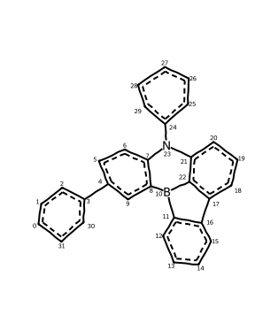 c1ccc(-c2ccc3c(c2)B2c4ccccc4-c4cccc(c42)N3c2ccccc2)cc1